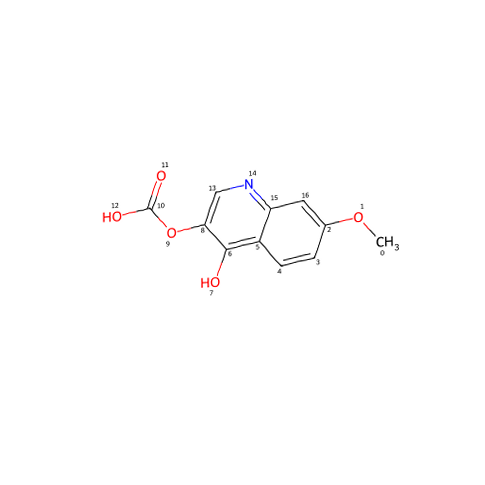 COc1ccc2c(O)c(OC(=O)O)cnc2c1